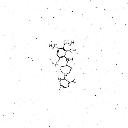 Cc1cc(C)c(C(=O)O)c(C)c1NC1CCN(c2ncccc2Cl)CC1